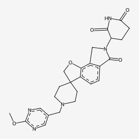 COc1ncc(CN2CCC3(CC2)COc2c3ccc3c2CN(C2CCC(=O)NC2=O)C3=O)cn1